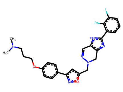 CN(C)CCCOc1ccc(-c2cc(CN3Cc4nc(-c5cccc(F)c5F)[nH]c4C=N3)on2)cc1